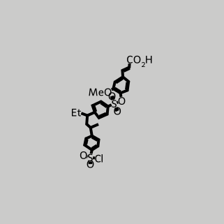 CCC(CC(C)c1ccc(S(=O)(=O)Cl)cc1)c1ccc(S(=O)(=O)Oc2ccc(/C=C/C(=O)O)cc2OC)cc1